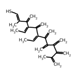 C=C(C)C(=C)C(=C)C(=C)C(=C)/C(=C/C)C(=C)/C(=C/C)C(=C)/C(C)=C/S